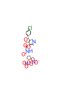 Cc1ncc2c(c1OC(=O)[C@@H](C)NC(=O)[C@@H]1C[C@H](O[N+](=O)[O-])[C@H](O[N+](=O)[O-])C1)CO[C@H]2c1ccc(Cl)cc1